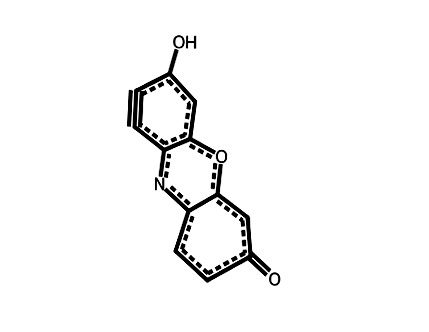 O=c1ccc2nc3c#cc(O)cc3oc-2c1